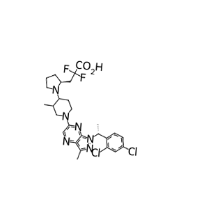 Cc1nn([C@H](C)c2ccc(Cl)cc2Cl)c2nc(N3CCC(N4CCC[C@H]4CC(F)(F)C(=O)O)C(C)C3)cnc12